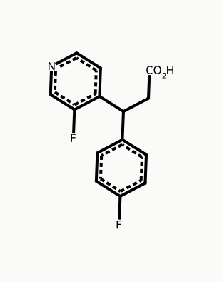 O=C(O)CC(c1ccc(F)cc1)c1ccncc1F